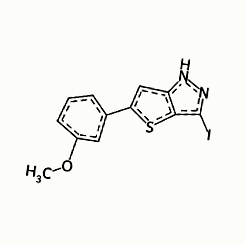 COc1cccc(-c2cc3[nH]nc(I)c3s2)c1